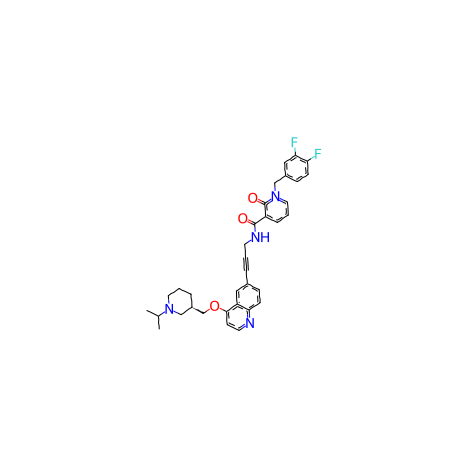 CC(C)N1CCC[C@@H](COc2ccnc3ccc(C#CCNC(=O)c4cccn(Cc5ccc(F)c(F)c5)c4=O)cc23)C1